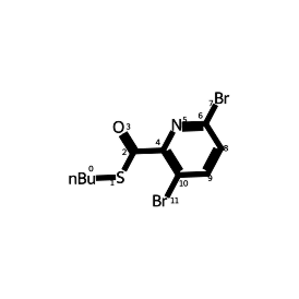 CCCCSC(=O)c1nc(Br)ccc1Br